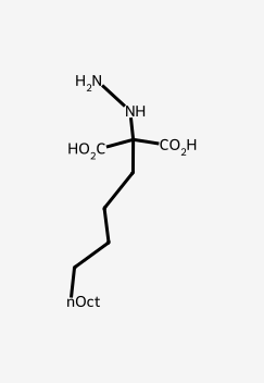 CCCCCCCCCCCCC(NN)(C(=O)O)C(=O)O